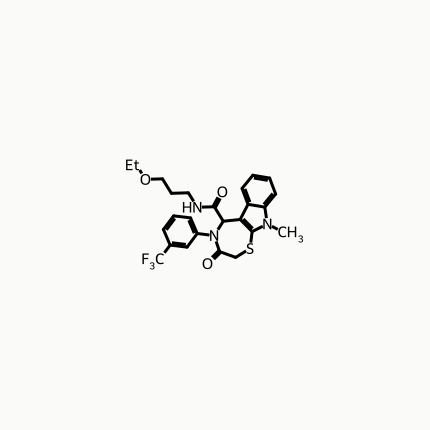 CCOCCCNC(=O)C1c2c(n(C)c3ccccc23)SCC(=O)N1c1cccc(C(F)(F)F)c1